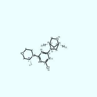 C[C@@H]1COCCN1c1nc(Cl)nc(N2C[C@H]3C[C@@H]2CO3)n1